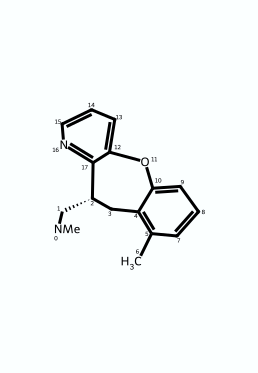 CNC[C@H]1Cc2c(C)cccc2Oc2cccnc21